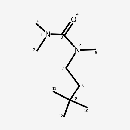 CN(C)C(=O)N(C)CCC(C)(C)C